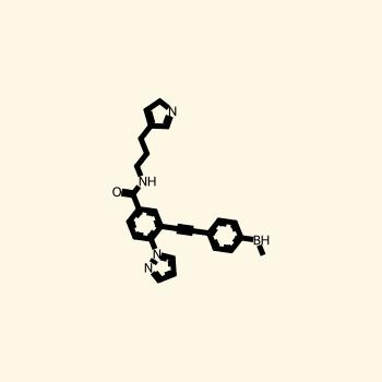 CBc1ccc(C#Cc2cc(C(=O)NCCCC3=CCN=C3)ccc2-n2cccn2)cc1